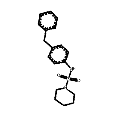 O=S(=O)(Nc1ccc(Cc2ccccc2)cc1)N1CCCCC1